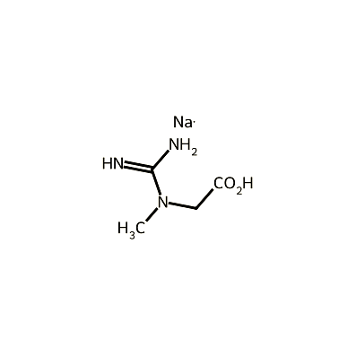 CN(CC(=O)O)C(=N)N.[Na]